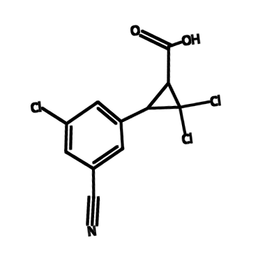 N#Cc1cc(Cl)cc(C2C(C(=O)O)C2(Cl)Cl)c1